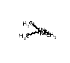 CCCCCCCC(CCCCCC)c1ncc(CC)cn1